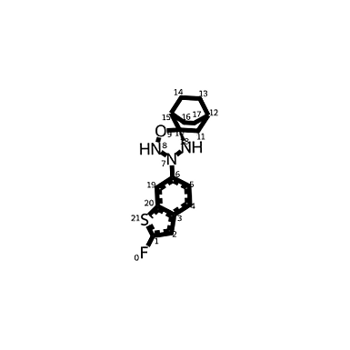 Fc1cc2ccc(N3NO[C@]4(CC5CCC4CC5)N3)cc2s1